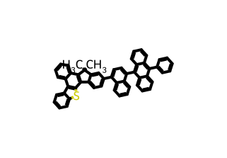 CC1(C)c2cc(-c3ccc(-c4c5ccccc5c(-c5ccccc5)c5ccccc45)c4ccccc34)ccc2-c2c1c1ccccc1c1c2sc2ccccc21